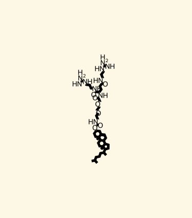 CC(C)CCCC(C)C1CCC2C3CC=C4CC(OC(=O)NCCOCCOCC(=O)NC(CCC(=O)NCCCNC(=N)N)C(=O)NCCCNC(=N)N)CCC4(C)C3CCC12C